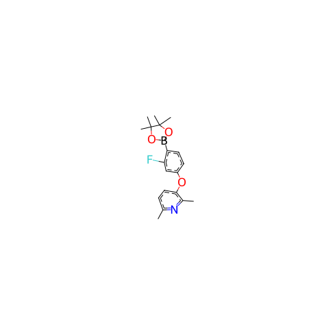 Cc1ccc(Oc2ccc(B3OC(C)(C)C(C)(C)O3)c(F)c2)c(C)n1